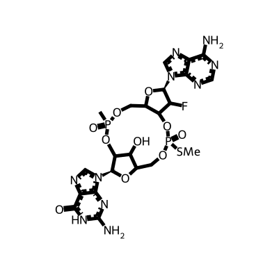 CSP1(=O)OCC2O[C@@H](n3cnc4c(=O)[nH]c(N)nc43)C(OP(C)(=O)OCC3O[C@@H](n4cnc5c(N)ncnc54)C(F)C3O1)C2O